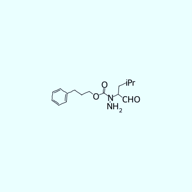 CC(C)CC(C=O)N(N)C(=O)OCCCc1ccccc1